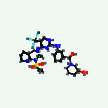 CN(c1ncccc1CNc1nc(Nc2cccc(C(=O)N3CCC[C@H](O)C3)c2)ncc1C(F)(F)F)S(C)(=O)=O